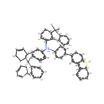 CC1C=CC=C[C@@H]1C1(c2ccccc2)C2=C(C=CCC2)c2cc(N(c3ccc(-c4ccc5sc6ccccc6c5c4)cc3)c3cccc4c3-c3ccccc3C4(C)C)ccc21